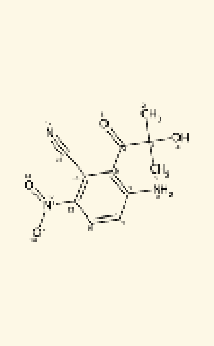 CC(C)(O)C(=O)c1c(N)ccc([N+](=O)[O-])c1C#N